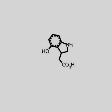 O=C(O)CC1CNc2cccc(O)c21